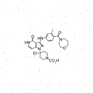 CCC1(n2nc(Nc3ccc(C(=O)N4CCCOCC4)c(C)c3)c3c(=O)[nH]ccc32)CCN(C(=O)O)CC1